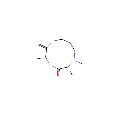 C=C1NCCCN(C)[C@@H](C)C(=O)N[C@H]1C